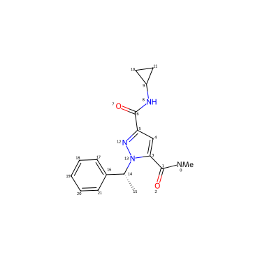 CNC(=O)c1cc(C(=O)NC2CC2)nn1[C@H](C)c1ccccc1